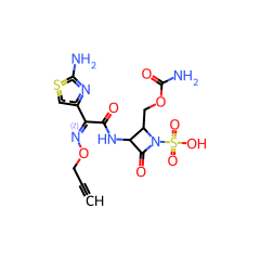 C#CCO/N=C(\C(=O)NC1C(=O)N(S(=O)(=O)O)C1COC(N)=O)c1csc(N)n1